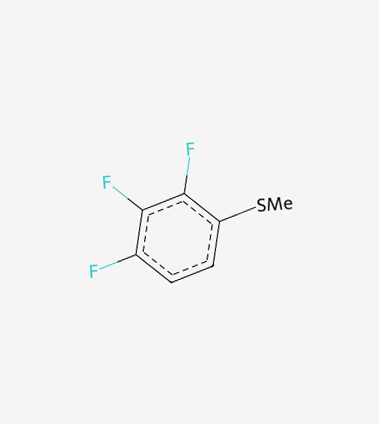 CSc1ccc(F)c(F)c1F